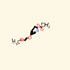 COCCOc1ccc(OC(C)=O)nc1